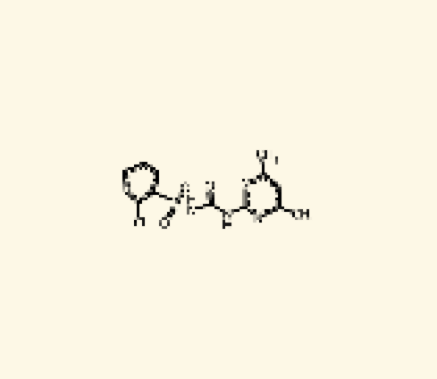 Cc1cc(C)nc(NC(=O)NS(=O)(=O)c2cccnc2Cl)n1